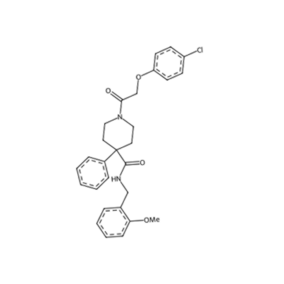 COc1ccccc1CNC(=O)C1(c2ccccc2)CCN(C(=O)COc2ccc(Cl)cc2)CC1